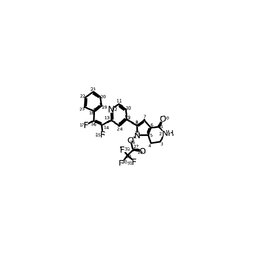 O=C1NCCc2c1cc(-c1ccnc(/C(F)=C(/F)c3ccccc3)c1)n2OC(=O)C(F)(F)F